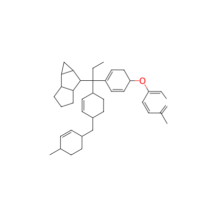 C=C(C)/C=C\C(=C/C)OC1C=CC(C(CC)(C2C=CC(CC3C=CC(C)CC3)CC2)C2C3CCCC3C3CC32)=CC1